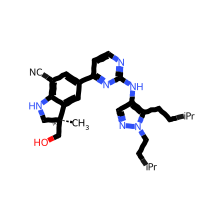 CC(C)CCc1c(Nc2nccc(-c3cc(C#N)c4c(c3)[C@@](C)(CO)CN4)n2)cnn1CCC(C)C